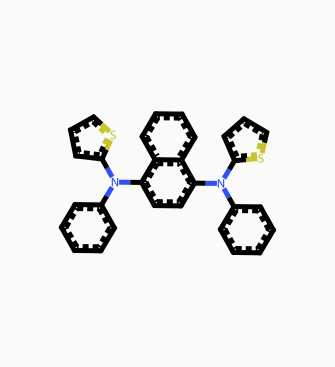 c1ccc(N(c2cccs2)c2ccc(N(c3ccccc3)c3cccs3)c3ccccc23)cc1